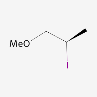 COC[C@@H](C)I